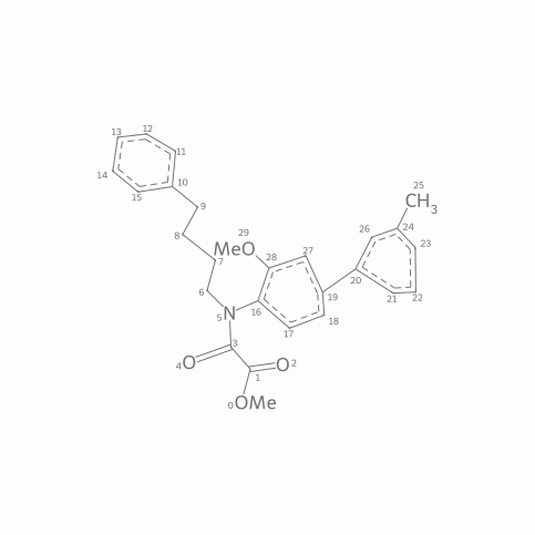 COC(=O)C(=O)N(CCCCc1ccccc1)c1ccc(-c2cccc(C)c2)cc1OC